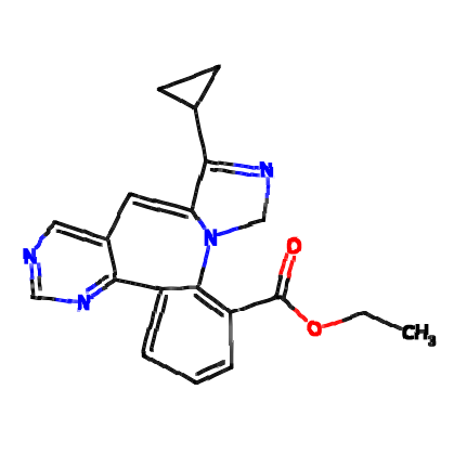 CCOC(=O)c1cccc2c1N1CN=C(C3CC3)C1=Cc1cncnc1-2